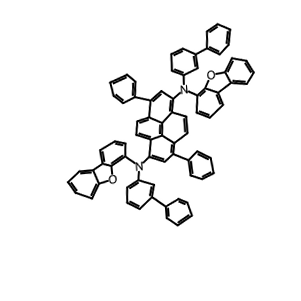 c1ccc(-c2cccc(N(c3cc(-c4ccccc4)c4ccc5c(N(c6cccc(-c7ccccc7)c6)c6cccc7c6oc6ccccc67)cc(-c6ccccc6)c6ccc3c4c65)c3cccc4c3oc3ccccc34)c2)cc1